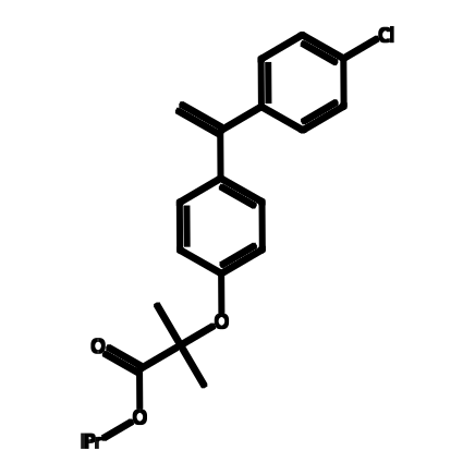 C=C(c1ccc(Cl)cc1)c1ccc(OC(C)(C)C(=O)OC(C)C)cc1